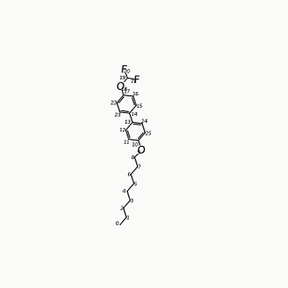 CCCCCCCCCOc1ccc(-c2ccc(OC(F)F)cc2)cc1